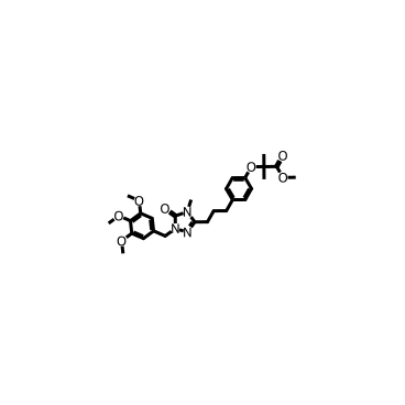 COC(=O)C(C)(C)Oc1ccc(CCCc2nn(Cc3cc(OC)c(OC)c(OC)c3)c(=O)n2C)cc1